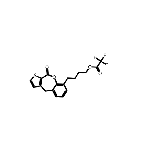 O=C1Oc2c(CCCCOC(=O)C(F)(F)F)cccc2Cc2ccsc21